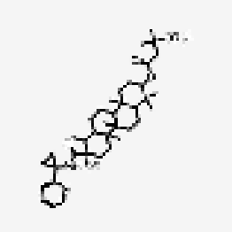 CCCC1(C(=O)NC2(c3ccccn3)CC2)CC[C@]2(C)C(CCC3C4(C)CCC(OC(=O)CC(C)(C)C(=O)O)C(C)(C)C4CCC32C)C1C